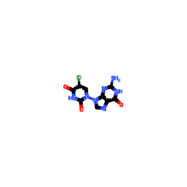 Nc1nc2c(ncn2-n2cc(Cl)c(=O)[nH]c2=O)c(=O)[nH]1